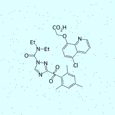 CCN(CC)C(=O)n1cnc(S(=O)(=O)c2c(C)cc(C)cc2C)n1.O=C(O)COc1ccc(Cl)c2cccnc12